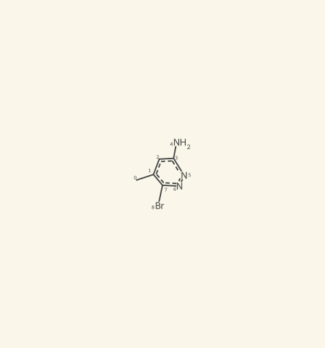 Cc1cc(N)nnc1Br